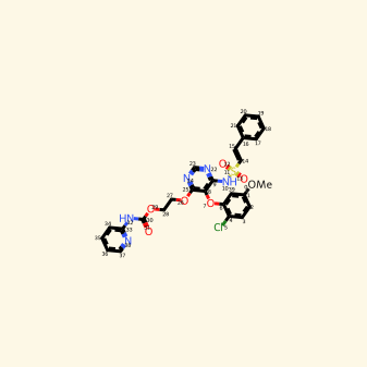 COc1ccc(Cl)c(Oc2c(NS(=O)(=O)/C=C/c3ccccc3)ncnc2OCCOC(=O)Nc2ccccn2)c1